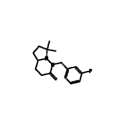 C=C1CCC2CCC(C)(C)N2N1Cc1cccc(F)c1